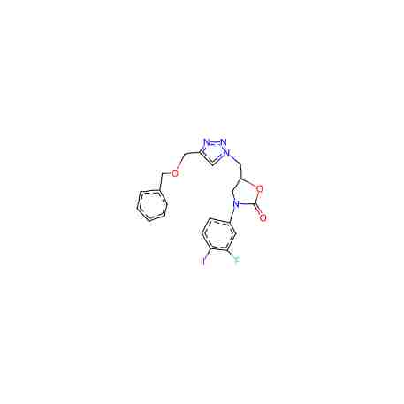 O=C1OC(Cn2cc(COCc3ccccc3)nn2)CN1c1ccc(I)c(F)c1